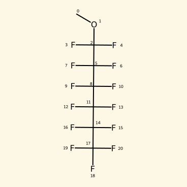 COC(F)(F)C(F)(F)C(F)(F)C(F)(F)C(F)(F)C(F)(F)F